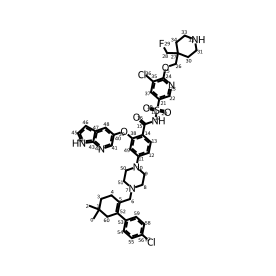 CC1(C)CCC(CN2CCN(c3ccc(C(=O)NS(=O)(=O)c4cnc(OCC5(CF)CCNCC5)c(Cl)c4)c(Oc4cnc5[nH]ccc5c4)c3)CC2)=C(c2ccc(Cl)cc2)C1